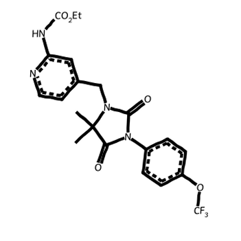 CCOC(=O)Nc1cc(CN2C(=O)N(c3ccc(OC(F)(F)F)cc3)C(=O)C2(C)C)ccn1